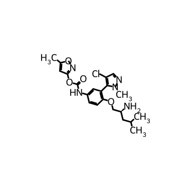 Cc1cc(OC(=O)Nc2ccc(OC[C@@H](N)CC(C)C)c(-c3c(Cl)cnn3C)c2)no1